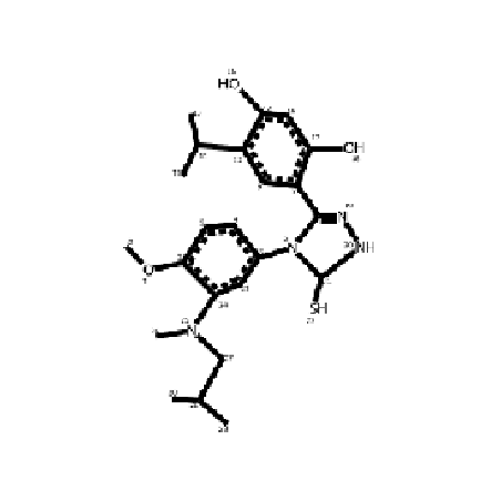 COc1ccc(N2C(c3cc(C(C)C)c(O)cc3O)=NNC2S)cc1N(C)CC(C)C